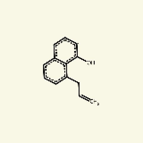 C=CCc1cccc2cc[c]c(O)c12